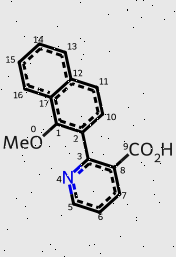 COc1c(-c2ncccc2C(=O)O)ccc2ccccc12